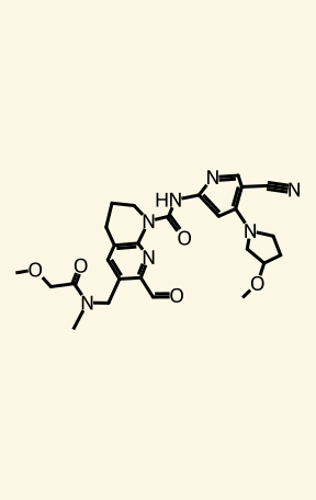 COCC(=O)N(C)Cc1cc2c(nc1C=O)N(C(=O)Nc1cc(N3CCC(OC)C3)c(C#N)cn1)CCC2